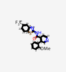 COc1ccccc1-c1cnccc1C(=O)Nc1nc2cc(C(F)(F)F)ccc2s1